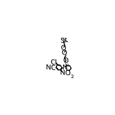 C[Si](C)(C)CCOCOCCOC[C@@H]1CCCCN1c1cc(Cl)c(C#N)cc1[N+](=O)[O-]